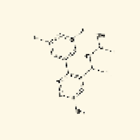 CC(N[S+]([O-])C(C)(C)C)c1cc(N)nnc1-c1cc(F)cc(F)c1